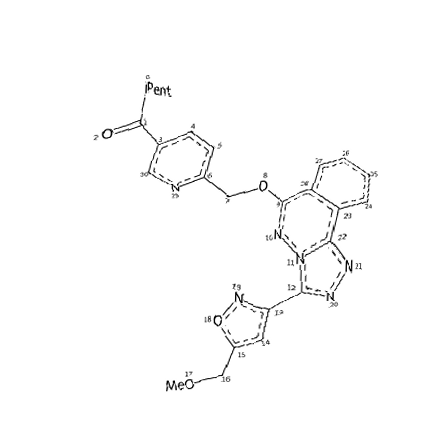 CCCC(C)C(=O)c1ccc(COc2nn3c(-c4cc(COC)on4)nnc3c3ccccc23)nc1